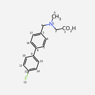 CN(CC(=O)O)Cc1ccc(-c2ccc(F)cc2)cc1